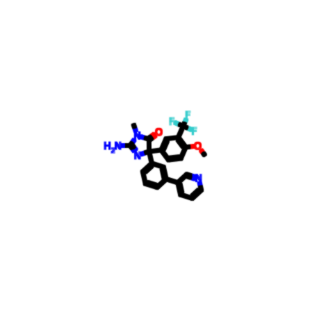 COc1ccc(C2(c3cccc(-c4cccnc4)c3)N=C(N)N(C)C2=O)cc1C(F)(F)F